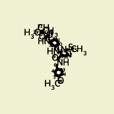 COc1ccc(CNC(=O)c2cnc(SC)nc2Nc2cccc(NC(=O)OC(C)(C)C)c2)cc1